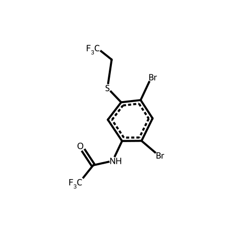 O=C(Nc1cc(SCC(F)(F)F)c(Br)cc1Br)C(F)(F)F